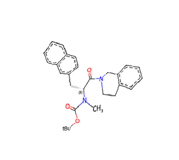 CN(C(=O)OC(C)(C)C)[C@H](Cc1ccc2ccccc2c1)C(=O)N1CCc2ccccc2C1